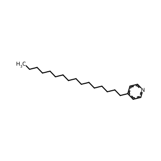 CCCCCCCCCCCCCCCCc1ccncc1